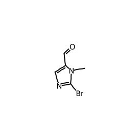 Cn1c(C=O)cnc1Br